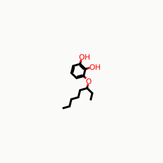 CCCCCC(CC)Oc1cccc(O)c1O